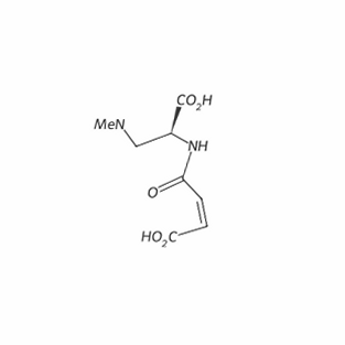 CNC[C@H](NC(=O)/C=C\C(=O)O)C(=O)O